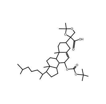 CC(C)CCCC(C)C1CCC2C3C(OC(=O)OC(C)(C)C)C=C4CC(C5(C(=O)O)COC(C)(C)O5)CCC4(C)C3CCC12C